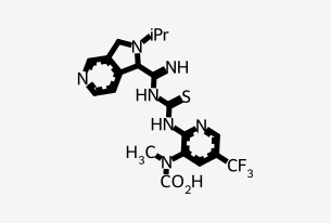 CC(C)N1Cc2cnccc2C1C(=N)NC(=S)Nc1ncc(C(F)(F)F)cc1N(C)C(=O)O